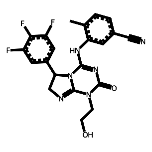 Cc1ccc(C#N)cc1NC1=NC(=O)N(CCO)C2=NCC(c3cc(F)c(F)c(F)c3)N12